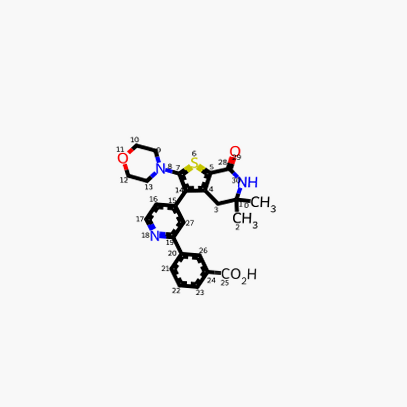 CC1(C)Cc2c(sc(N3CCOCC3)c2-c2ccnc(-c3cccc(C(=O)O)c3)c2)C(=O)N1